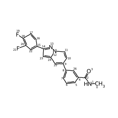 CNC(=O)c1cccc(-c2ccn3nc(-c4ccc(F)c(F)c4)cc3c2)c1